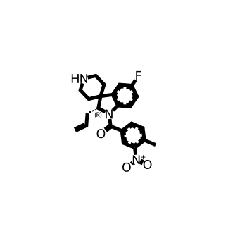 C=CC[C@H]1N(C(=O)c2ccc(C)c([N+](=O)[O-])c2)c2ccc(F)cc2C12CCNCC2